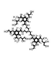 CN(CC(O)CO)C(=O)c1c(I)c(NC(=O)CO)c(I)c(C(=O)NCCN(CCNC(=O)c2c(I)c(NC(=O)CO)c(I)c(C(=O)N(C)CC(O)CO)c2I)CCNC(=O)c2c(I)c(NC(=O)CO)c(I)c(C(=O)N(C)CC(O)CO)c2I)c1I